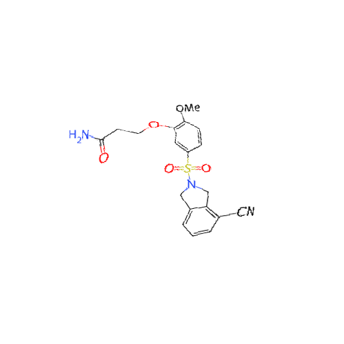 COc1ccc(S(=O)(=O)N2Cc3cccc(C#N)c3C2)cc1OCCC(N)=O